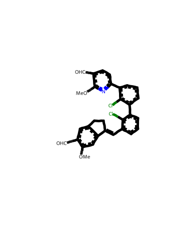 COc1cc2c(cc1C=O)CCC2=Cc1cccc(-c2cccc(-c3ccc(C=O)c(OC)n3)c2Cl)c1Cl